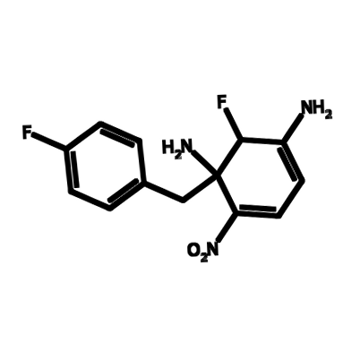 NC1=CC=C([N+](=O)[O-])C(N)(Cc2ccc(F)cc2)C1F